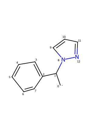 [CH2]C(c1ccccc1)n1cccn1